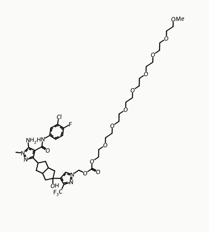 COCCOCCOCCOCCOCCOCCOCCOCCOC(=O)OCn1cc(C2(O)CC3CC(c4nn(C)c(N)c4C(=O)Nc4ccc(F)c(Cl)c4)CC3C2)c(C(F)(F)F)n1